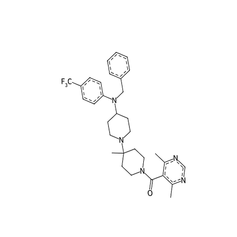 Cc1ncnc(C)c1C(=O)N1CCC(C)(N2CCC(N(Cc3ccccc3)c3ccc(C(F)(F)F)cc3)CC2)CC1